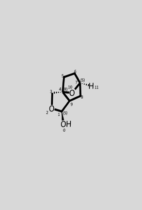 O[C@H]1OC[C@@]23CC[C@@H](CC12)O3